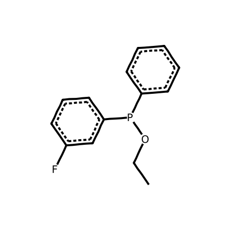 CCOP(c1ccccc1)c1cccc(F)c1